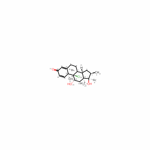 CC(=O)[C@@]1(O)[C@H](C)C[C@H]2[C@@H]3CCC4=CC(=O)C=C[C@]4(C)[C@@]3(Cl)[C@@H](O)C[C@@]21C